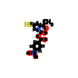 CC(=O)C1C[C@H](S)CN1C(=O)OC(=O)c1ccc([N+](=O)[O-])cc1